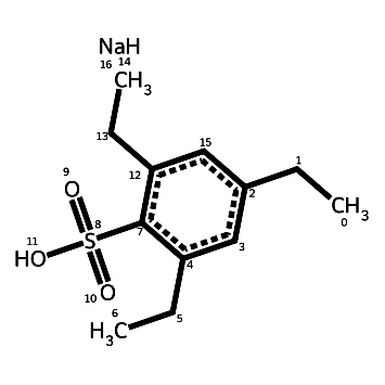 CCc1cc(CC)c(S(=O)(=O)O)c(CC)c1.[NaH]